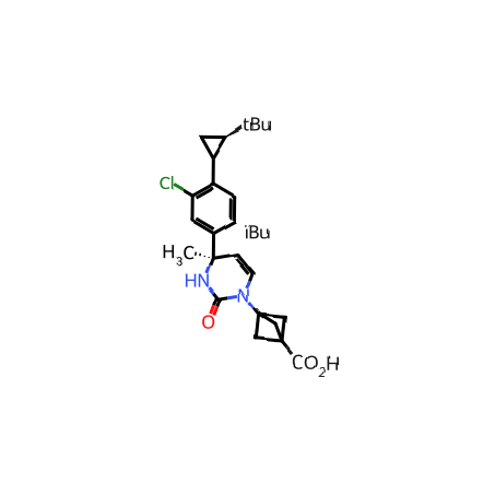 CC[C@H](C)C1=CN(C23CC(C(=O)O)(C2)C3)C(=O)N[C@@]1(C)c1ccc(C2C[C@H]2C(C)(C)C)c(Cl)c1